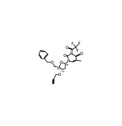 C#CCO[C@H]1C[C@H](n2cc(C)c(=O)n(C(=O)C(F)(F)F)c2=O)O[C@@H]1COCc1ccccc1